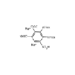 CCCCCCc1c(S(=O)(=O)O)cc(C(=O)[O-])c(C(=O)[O-])c1CCCCCC.[Na+].[Na+]